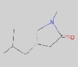 CC(C)C[C@H]1CC(=O)N(C)C1